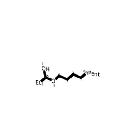 CCCCCCCCCOC(O)CC